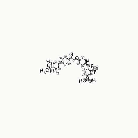 CC(C)(C)c1ccc(N2CCN(C(=O)COC3CCC(Nc4ccc(N(O)O)cc4C(F)(F)F)CC3)CC2)cc1